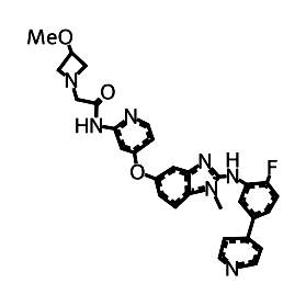 COC1CN(CC(=O)Nc2cc(Oc3ccc4c(c3)nc(Nc3cc(-c5ccncc5)ccc3F)n4C)ccn2)C1